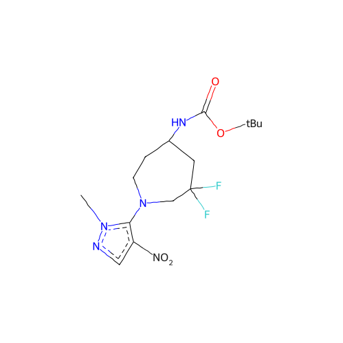 Cn1ncc([N+](=O)[O-])c1N1CCC(NC(=O)OC(C)(C)C)CC(F)(F)C1